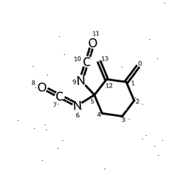 C=C1CCCC(N=C=O)(N=C=O)C1=C